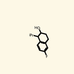 CC(C)C1c2ccc(F)cc2CCC1O